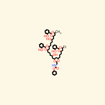 CCC1CC(CCCC2CC(CC(O)CCCC3CC(CCCC(O)CC4C[C@H](C)OC(c5ccccc5O)O4)OC(c4ccccc4O)O3)OC(CNC(=O)Oc3ccccc3)O2)OC(c2ccccc2O)O1